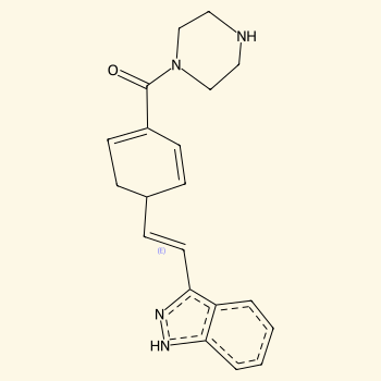 O=C(C1=CCC(/C=C/c2n[nH]c3ccccc23)C=C1)N1CCNCC1